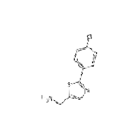 NCc1cnc(-c2ccc(Cl)cc2)s1